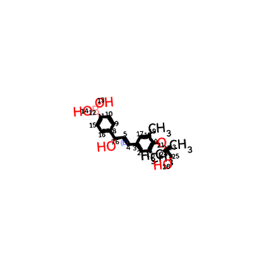 Cc1cc(/C=C/C(O)c2ccc(B(O)O)cc2)cc(C)c1OC(C)(C)CO